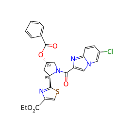 CCOC(=O)c1csc([C@H]2C[C@H](OC(=O)c3ccccc3)CN2C(=O)c2cn3cc(Cl)ccc3n2)n1